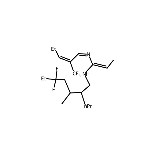 C\C=C(/N=C\C(=C/CC)C(F)(F)F)NCC(CCC)C(C)CC(F)(F)CC